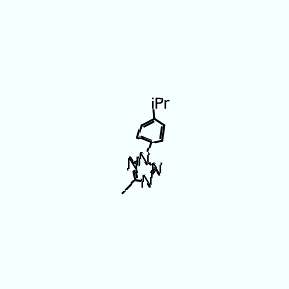 Cc1nnn(-c2ccc(C(C)C)cc2)n1